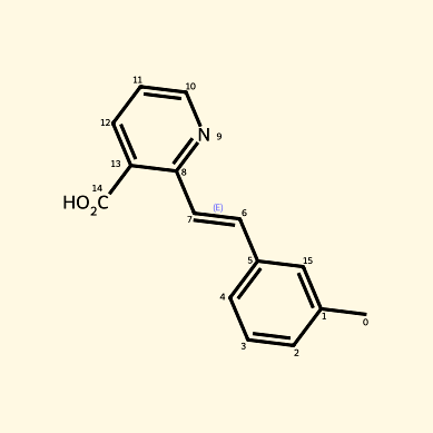 Cc1cccc(/C=C/c2ncccc2C(=O)O)c1